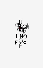 C#C[C@@]1(O)CC2CC[C@@H](C1)C2S(=O)(=O)c1cc(C(=O)Nc2cc(F)c(F)c(F)c2)ccc1Cl